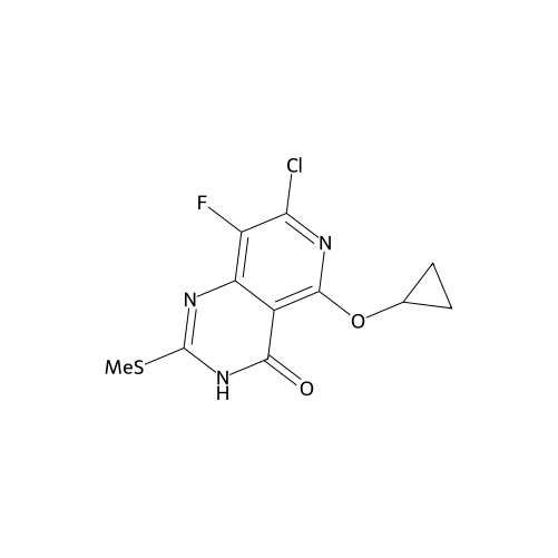 CSc1nc2c(F)c(Cl)nc(OC3CC3)c2c(=O)[nH]1